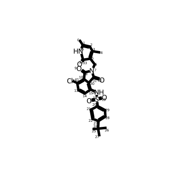 Cc1cc(C)c(CN2C(=O)c3c(Cl)ccc(NS(=O)(=O)c4ccc(C(C)(C)C)cc4)c3C2=O)c(=O)[nH]1